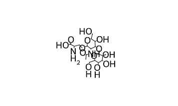 CC(=O)N[C@@H]1[C@@H](OCC(N)C(=O)O)OC(CO)C(O)[C@H]1O[C@@H]1OC(CO)C(O)[C@@H](O)[C@@H]1O